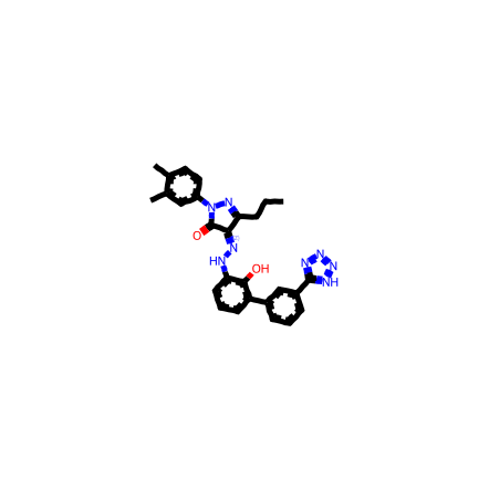 CCCC1=NN(c2ccc(C)c(C)c2)C(=O)/C1=N\Nc1cccc(-c2cccc(-c3nnn[nH]3)c2)c1O